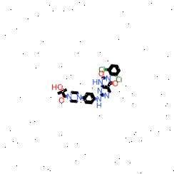 CC(C)(O)C(=O)N1CCN(c2ccc(Nc3ncc4c(=O)n(-c5c(Cl)cccc5Cl)c(=O)[nH]c4n3)cc2)CC1